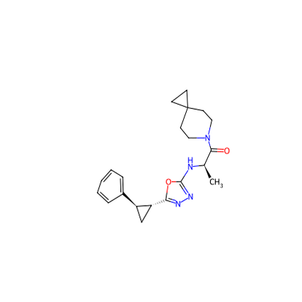 C[C@@H](Nc1nnc([C@@H]2C[C@H]2c2ccccc2)o1)C(=O)N1CCC2(CC1)CC2